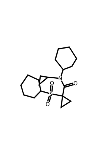 O=C(N(C1CCCCC1)C1CC1)C1(S(=O)(=O)C2CCCCC2)CC1